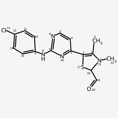 CC1=C(c2ccnc(Nc3ccc(Cl)cc3)n2)SC(C=O)N1C